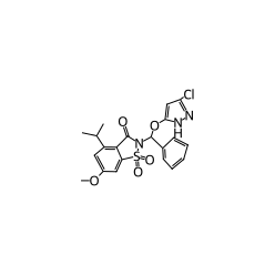 COc1cc(C(C)C)c2c(c1)S(=O)(=O)N(C(Oc1cc(Cl)n[nH]1)c1ccccc1)C2=O